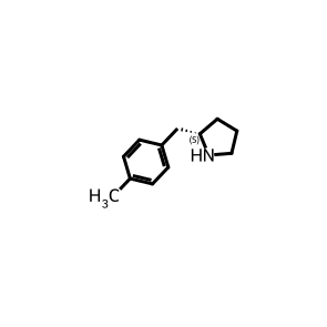 Cc1ccc(C[C@@H]2CCCN2)cc1